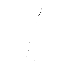 CCCC/C=C/CCCCCCCC(=O)NCCCN(C)O